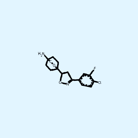 NC12CCC(C3CC(c4ccc(Cl)c(F)c4)=NO3)(CC1)OC2